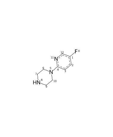 Fc1ccc(N2CCNCC2)nc1